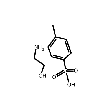 Cc1ccc(S(=O)(=O)O)cc1.NCCO